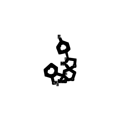 CO[C@]1(c2ccccc2C(F)(F)F)COCC2(C1)N[C@@H](c1ccc(F)cc1)CO2